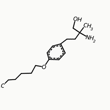 CCCCCCOc1ccc(CCC(C)(N)CO)cc1